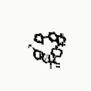 NC(I)(Cc1ccc(Cl)cc1)C(=O)N1CCN(c2ncnc3ccc(-c4ccccc4)cc23)CC1